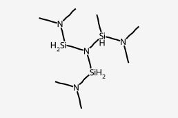 CN(C)[SiH2]N([SiH2]N(C)C)[SiH](C)N(C)C